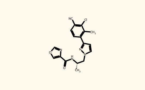 Cc1c(-c2ccn(C[C@H](C)NC(=O)c3cocn3)n2)ccc(C#N)c1Cl